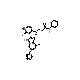 Cc1cc(-n2ccnc2)cc2[nH]c(-c3c(NCCC(=O)Nc4ccccc4)cc[nH]c3=O)nc12